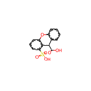 O=C(O)C1c2ccccc2Oc2cccc(S(=O)(=O)O)c21